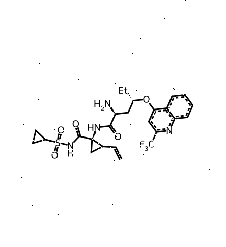 C=CC1C[C@]1(NC(=O)[C@@H](N)C[C@H](CC)Oc1cc(C(F)(F)F)nc2ccccc12)C(=O)NS(=O)(=O)C1CC1